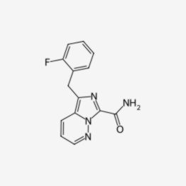 NC(=O)c1nc(Cc2ccccc2F)c2cccnn12